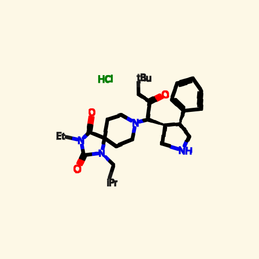 CCN1C(=O)N(CC(C)C)C2(CCN(C(C(=O)CC(C)(C)C)[C@@H]3CNC[C@@H]3c3ccccc3)CC2)C1=O.Cl